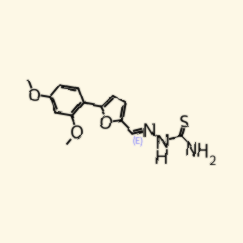 COc1ccc(-c2ccc(/C=N/NC(N)=S)o2)c(OC)c1